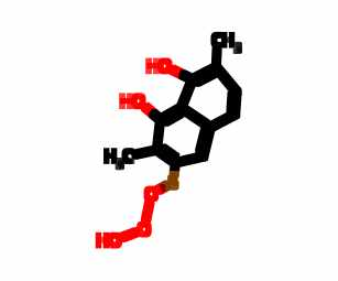 Cc1ccc2cc(SOOO)c(C)c(O)c2c1O